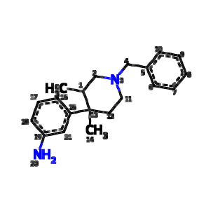 CC1CN(Cc2ccccc2)CCC1(C)c1cccc(N)c1